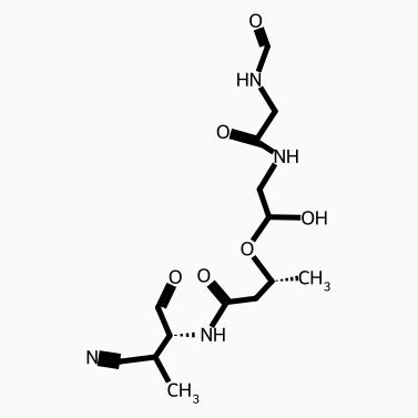 CC(C#N)[C@H](C=O)NC(=O)C[C@@H](C)OC(O)CNC(=O)CNC=O